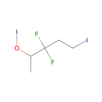 CC(OI)C(F)(F)CCI